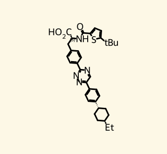 CC[C@H]1CC[C@H](c2ccc(-c3cnc(-c4ccc(C[C@H](NC(=O)c5ccc(C(C)(C)C)s5)C(=O)O)cc4)nn3)cc2)CC1